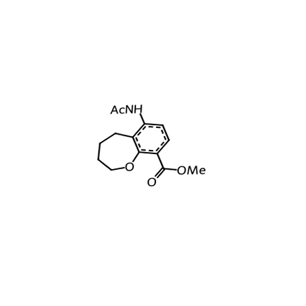 COC(=O)c1ccc(NC(C)=O)c2c1OCCCC2